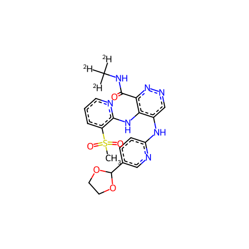 [2H]C([2H])([2H])NC(=O)c1nncc(Nc2ccc(C3OCCO3)cn2)c1Nc1ncccc1S(C)(=O)=O